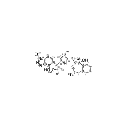 CC[C@H]1Cc2ccccc2C(O)(O)N(Cc2nc([C@@H](c3ccc4c(nnn4CC)c3C)C(C)(C)C(=O)O)sc2C)S1